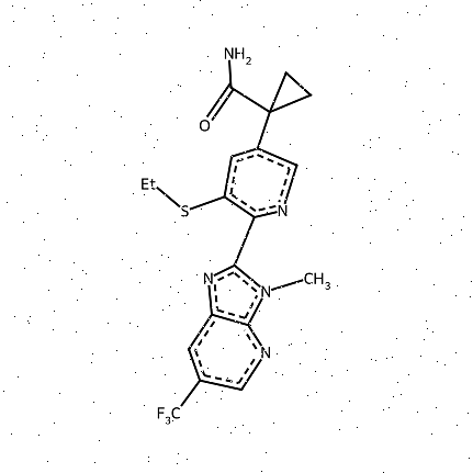 CCSc1cc(C2(C(N)=O)CC2)cnc1-c1nc2cc(C(F)(F)F)cnc2n1C